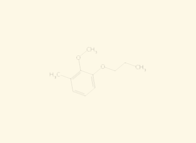 CCCOc1cccc(C)c1OC